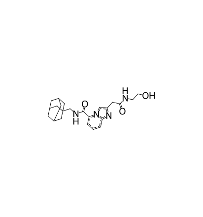 O=C(Cc1cn2c(C(=O)NCC34CC5CC(CC(C5)C3)C4)cccc2n1)NCCO